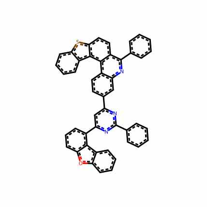 c1ccc(-c2nc(-c3ccc4c(c3)nc(-c3ccccc3)c3ccc5sc6ccccc6c5c34)cc(-c3cccc4oc5ccccc5c34)n2)cc1